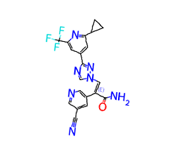 N#Cc1cncc(/C(=C\n2cnc(-c3cc(C4CC4)nc(C(F)(F)F)c3)n2)C(N)=O)c1